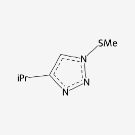 CSn1cc(C(C)C)nn1